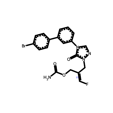 NC(=O)OC/C(=C/F)Cn1ncn(-c2cccc(-c3ccc(Br)cc3)c2)c1=O